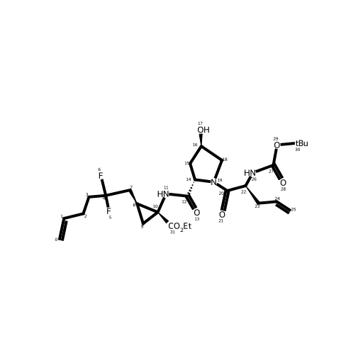 C=CCCC(F)(F)C[C@@H]1C[C@]1(NC(=O)[C@@H]1C[C@@H](O)CN1C(=O)[C@H](CC=C)NC(=O)OC(C)(C)C)C(=O)OCC